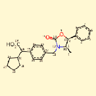 C[C@@H]1[C@H](c2ccccc2)OC(=O)N1Cc1ccc(C(C(=O)O)C2CCCC2)cc1